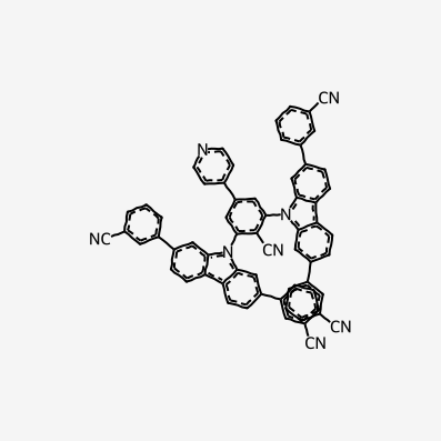 N#Cc1cccc(-c2ccc3c4ccc(-c5cccc(C#N)c5)cc4n(-c4cc(-c5ccncc5)cc(-n5c6cc(-c7cccc(C#N)c7)ccc6c6ccc(-c7cccc(C#N)c7)cc65)c4C#N)c3c2)c1